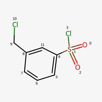 O=S(=O)(Cl)c1cccc(CCl)c1